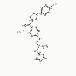 Cl.N[C@@H](COc1ccc(C(=O)N2CC[C@H](c3ccc(F)cc3)C2)cc1)Cn1ccnn1